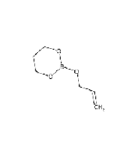 C=CCOB1OCCCO1